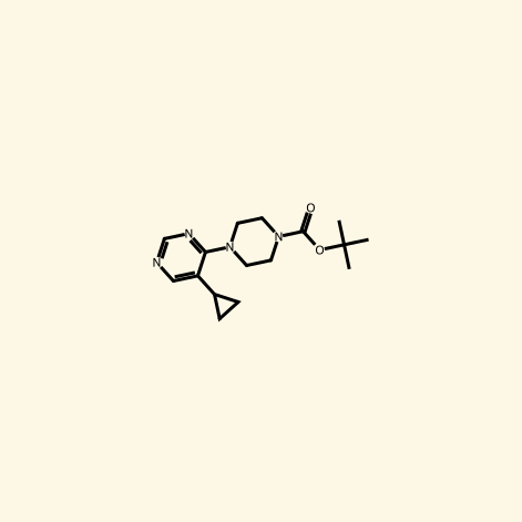 CC(C)(C)OC(=O)N1CCN(c2ncncc2C2CC2)CC1